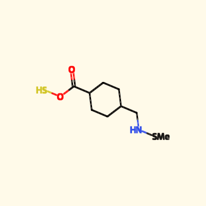 CSNCC1CCC(C(=O)OS)CC1